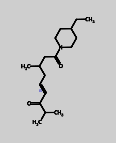 CCC1CCN(C(=O)CC(C)C/C=C/C(=O)C(C)C)CC1